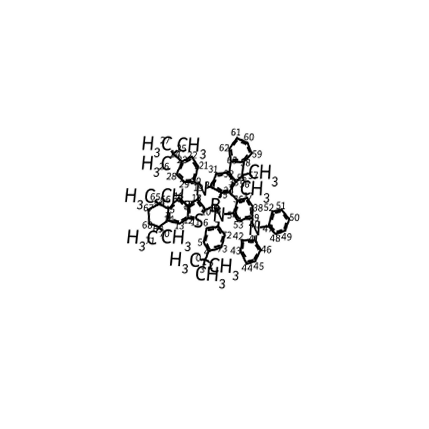 CC(C)(C)c1ccc(N2B3c4sc5cc6c(cc5c4N(c4ccc(C(C)(C)C)cc4)c4cc5c(c(c43)-c3ccc(N(c4ccccc4)c4ccccc4)cc32)C(C)(C)c2ccccc2-5)C(C)(C)CCC6(C)C)cc1